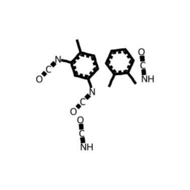 Cc1ccc(N=C=O)cc1N=C=O.Cc1ccccc1C.N=C=O.N=C=O